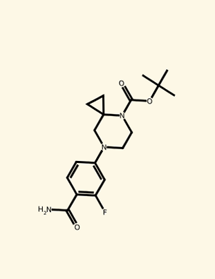 CC(C)(C)OC(=O)N1CCN(c2ccc(C(N)=O)c(F)c2)CC12CC2